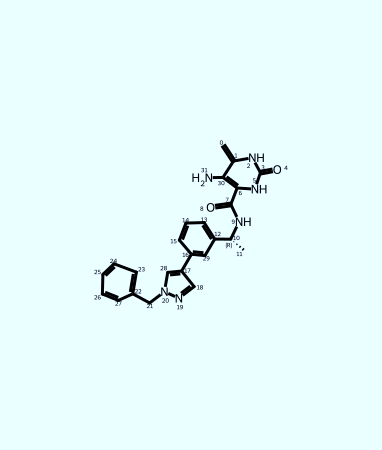 C=C1NC(=O)NC(C(=O)N[C@H](C)c2cccc(-c3cnn(Cc4ccccc4)c3)c2)=C1N